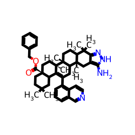 CC1(C)CC[C@]2(C(=O)OCc3ccccc3)CC[C@]3(C)C(=C(c4cccc5cnccc45)CC4[C@@]5(C)Cc6c(n[nH]c6N)C(C)(C)C5CC[C@]43C)C2C1